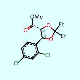 CCC1(CC)O[C@@H](C(=O)OC)[C@H](c2ccc(Cl)cc2Cl)O1